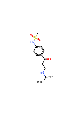 CCCCCCC(CC)NCCC(=O)c1ccc(NS(C)(=O)=O)cc1